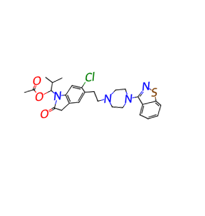 CC(=O)OC(C(C)C)N1C(=O)Cc2cc(CCN3CCN(c4nsc5ccccc45)CC3)c(Cl)cc21